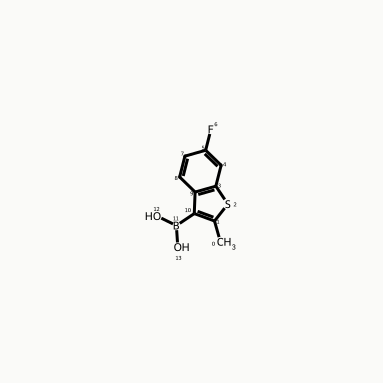 Cc1sc2cc(F)ccc2c1B(O)O